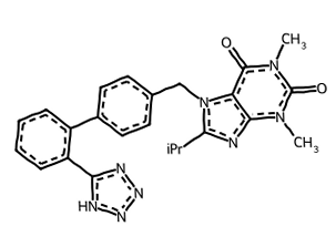 CC(C)c1nc2c(c(=O)n(C)c(=O)n2C)n1Cc1ccc(-c2ccccc2-c2nnn[nH]2)cc1